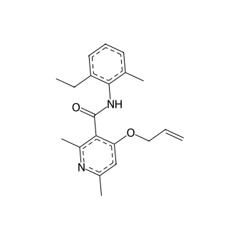 C=CCOc1cc(C)nc(C)c1C(=O)Nc1c(C)cccc1CC